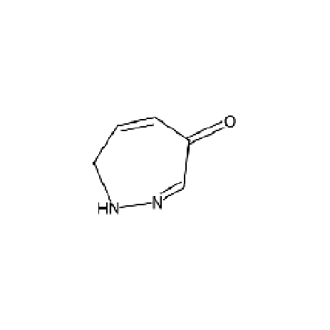 O=C1C=CCNN=C1